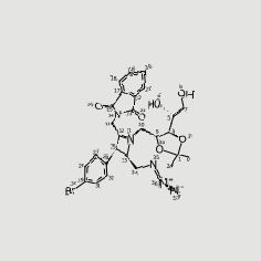 CC1(C)O[C@H]([C@H](O)CO)[C@H](CN2[C@H](CN3C(=O)c4ccccc4C3=O)[C@H](c3ccc(Br)cc3)[C@@H]2CN=[N+]=[N-])O1